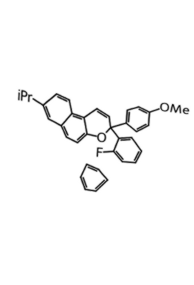 COc1ccc(C2(c3ccccc3F)C=Cc3c(ccc4cc(C(C)C)ccc34)O2)cc1.c1ccccc1